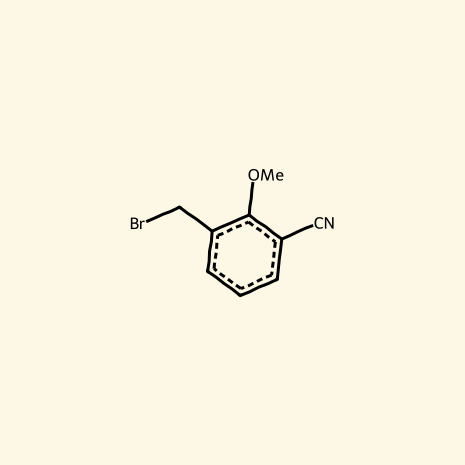 COc1c(C#N)cccc1CBr